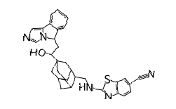 N#Cc1ccc2nc(NCC3C4CC5CC3CC(C(O)CC3c6ccccc6-c6cncn63)(C5)C4)sc2c1